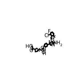 Nc1ncc(-c2cccc(NS(=O)(=O)CCN3CCC(C(=O)CO)C3)c2)nc1OCc1c(F)ccc(F)c1Cl